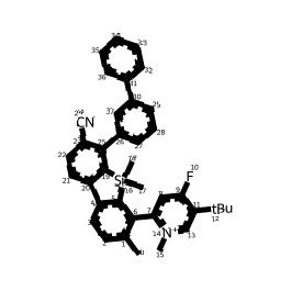 Cc1ccc2c(c1-c1cc(F)c(C(C)(C)C)c[n+]1C)[Si](C)(C)c1c-2ccc(C#N)c1-c1cccc(-c2ccccc2)c1